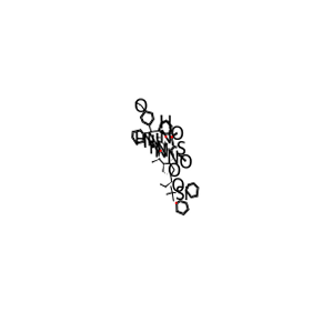 CC[C@H](O[Si](c1ccccc1)(c1ccccc1)C(C)(C)C)[C@@H]1C[C@@H]([C@@H](C)N=[N+]=[N-])[C@H](n2c(=O)sc3c(=O)[nH]c(NC(c4ccccc4)(c4ccccc4)c4ccc(OC)cc4)nc32)O1